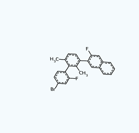 Cc1ccc(-c2cc3ccccc3cc2F)c(C)c1-c1ccc(Br)cc1F